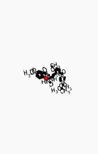 COc1ccc2c(c1)C(=O)N(C[C@@]1(C#Cc3nc(C(=O)N4CCN(C(=O)OC(C)(C)C)CC4)ccc3OC)NC(=O)NC1=O)C2